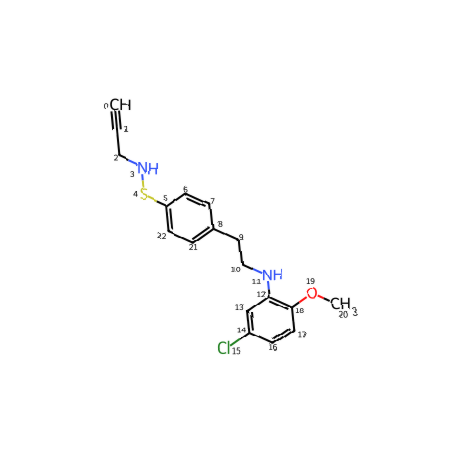 C#CCNSc1ccc(CCNc2cc(Cl)ccc2OC)cc1